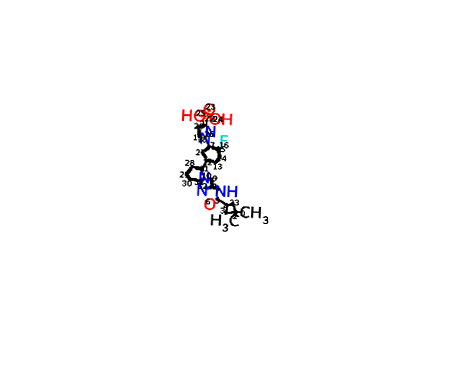 CC1(C)CC(C(=O)Nc2cn3c(-c4ccc(F)c(-n5ccc(P(=O)(O)O)n5)c4)cccc3n2)C1